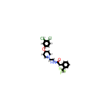 O=C(Cc1ccccc1C(F)(F)F)NCCN1CCC(Oc2ccc(Cl)c(Cl)c2)CC1